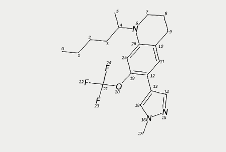 CCCCC(C)N1CCCc2cc(-c3cnn(C)c3)c(OC(F)(F)F)cc21